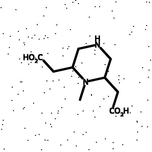 CN1C(CC(=O)O)CNCC1CC(=O)O